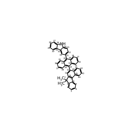 CC1(C)c2ccccc2-c2c1cc(-c1c3ccccc3c(-c3ccc4[nH]c5ccccc5c4c3)c3ccccc13)c1ccccc21